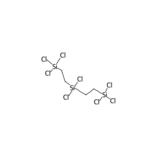 Cl[Si](Cl)(Cl)CC[Si](Cl)(Cl)CC[Si](Cl)(Cl)Cl